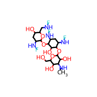 CNC1C(O)C(CO)OC(OC2C(NF)CC(NF)C(OC3OC(CNF)C(O)CC3NF)C2O)C1O